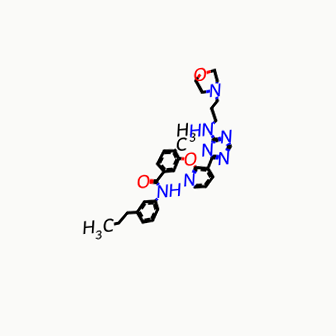 CCCc1cccc(NC(=O)c2ccc(C)c(Oc3ncccc3-c3ncnc(NCCCN4CCOCC4)n3)c2)c1